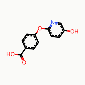 O=C(O)c1ccc(Oc2ccc(O)cn2)cc1